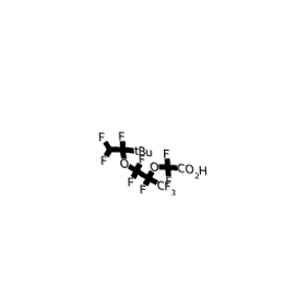 CC(C)(C)C(F)(OC(F)(F)C(F)(OC(F)(F)C(=O)O)C(F)(F)F)C(F)F